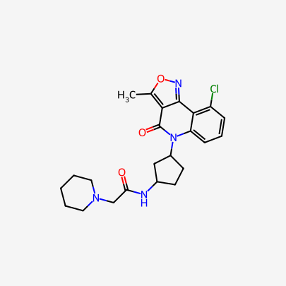 Cc1onc2c1c(=O)n(C1CCC(NC(=O)CN3CCCCC3)C1)c1cccc(Cl)c21